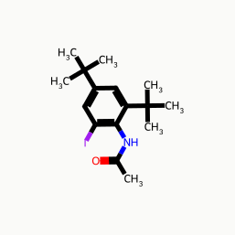 CC(=O)Nc1c(I)cc(C(C)(C)C)cc1C(C)(C)C